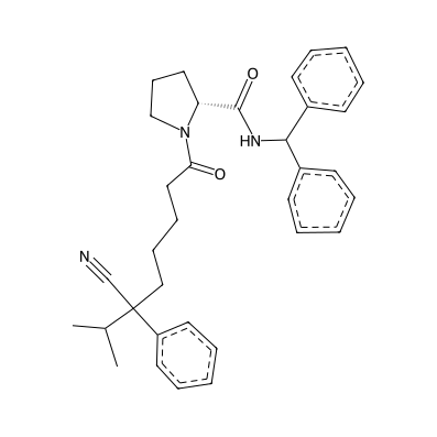 CC(C)C(C#N)(CCCCC(=O)N1CCC[C@@H]1C(=O)NC(c1ccccc1)c1ccccc1)c1ccccc1